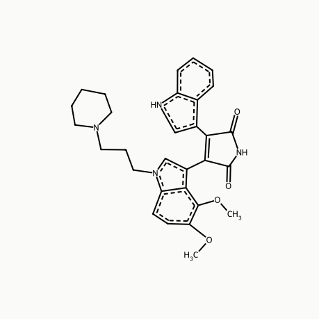 COc1ccc2c(c(C3=C(c4c[nH]c5ccccc45)C(=O)NC3=O)cn2CCCN2CCCCC2)c1OC